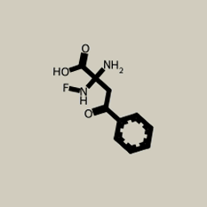 NC(CC(=O)c1ccccc1)(NF)C(=O)O